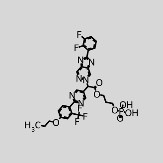 CCCOc1ccc(-c2ncc(C(C(=O)OCCCOP(=O)(O)O)n3cc4nc(-c5cccc(F)c5F)nc-4cn3)cn2)c(C(F)(F)F)c1